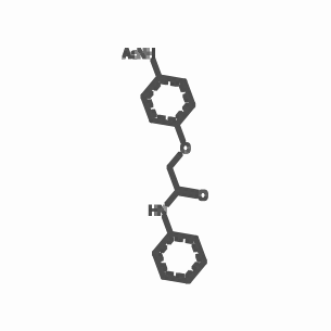 CC(=O)Nc1ccc(OCC(=O)Nc2ccccc2)cc1